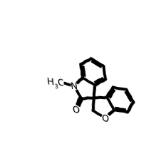 CN1C(=O)C2(COc3ccccc32)c2ccccc21